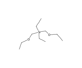 CCOC[Si](CC)(CC)COCC